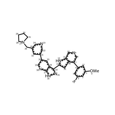 COc1cc(F)cc(-c2cncc3[nH]c(-c4n[nH]c5ncc(-c6cncc(CN7CCCC7)c6)cc45)cc23)c1